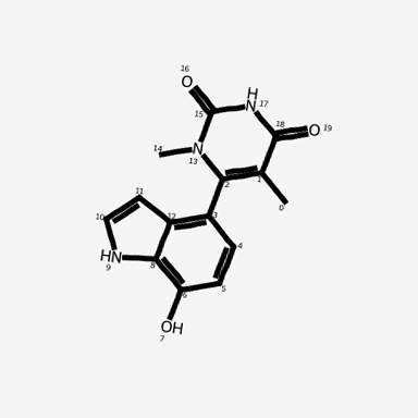 Cc1c(-c2ccc(O)c3[nH]ccc23)n(C)c(=O)[nH]c1=O